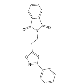 O=C1c2ccccc2C(=O)N1CCc1cc(-c2ccccc2)no1